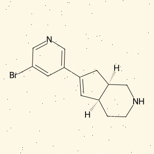 Brc1cncc(C2=C[C@@H]3CCNC[C@@H]3C2)c1